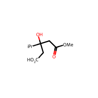 COC(=O)CC(O)(CC(=O)O)C(C)C